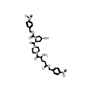 NC(CCC(=O)OCc1ccc([N+](=O)[O-])cc1)C(=O)N1CCN(C(=O)[C@@H]2C[C@H](S)CN2C(=O)OCc2ccc([N+](=O)[O-])cc2)CC1